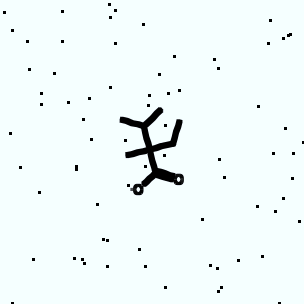 CCC(C)(C([O])=O)C(C)C